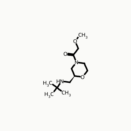 COCC(=O)N1CCO[C@@H](CNC(C)(C)C)C1